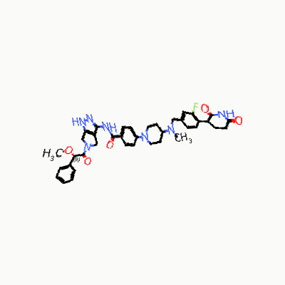 CO[C@@H](C(=O)N1Cc2[nH]nc(NC(=O)c3ccc(N4CCC(N(C)Cc5ccc(C6CCC(=O)NC6=O)c(F)c5)CC4)cc3)c2C1)c1ccccc1